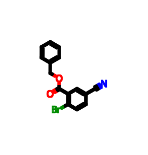 N#Cc1ccc(Br)c(C(=O)OCc2ccccc2)c1